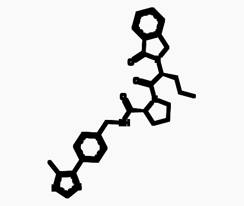 CCC[C@@H](C(=O)N1CCC[C@H]1C(=O)NCc1ccc(-c2scnc2C)cc1)N1Cc2ccccc2C1=O